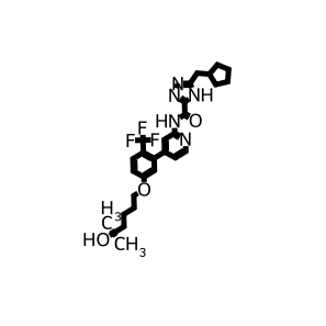 CC(C)(O)CCCCOc1ccc(C(F)(F)F)c(-c2ccnc(NC(=O)c3nnc(CC4CCCC4)[nH]3)c2)c1